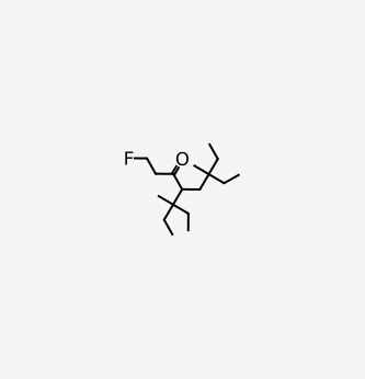 CCC(C)(CC)CC(C(=O)CCF)C(C)(CC)CC